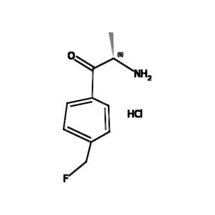 C[C@H](N)C(=O)c1ccc(CF)cc1.Cl